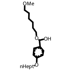 CCCCCCCOc1ccc(C(O)OCCCCCCOC)cc1